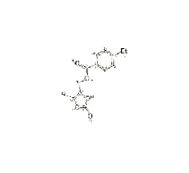 [CH2-][CH+]c1ccc(C(=O)OCc2oc(=O)oc2C)cc1